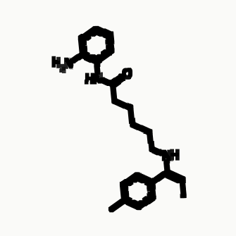 CC=C(NCCCCCC(=O)Nc1ccccc1N)c1ccc(C)cc1